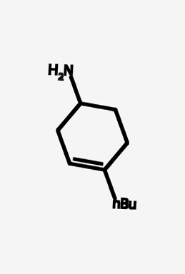 CCCCC1=CCC(N)CC1